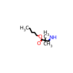 CCCCCOC(=O)C(C)(C)C=N